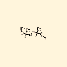 CCC(C)(N=NC(C)(CC)OC(C)C)OC(C)C